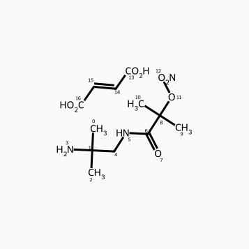 CC(C)(N)CNC(=O)C(C)(C)O[N+](=O)[O-].O=C(O)C=CC(=O)O